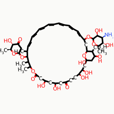 CC1/C=C/C=C/C=C/C=C/C=C/C=C/C=C/C(OC2O[C@H](C)[C@@H](O)[C@H](N)[C@@H]2O)CC2OC(O)(CC(O)C(O)CCC(=O)CC(O)CC(O)CC(=O)OC(C)C(C)C1OC1CC(=O)[C@@H](O)[C@H](C)O1)CC(O)C2C(=O)O